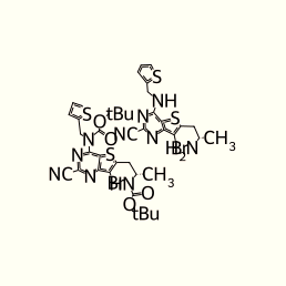 C[C@@H](Cc1sc2c(N(Cc3cccs3)C(=O)OC(C)(C)C)nc(C#N)nc2c1Br)NC(=O)OC(C)(C)C.C[C@H](N)Cc1sc2c(NCc3cccs3)nc(C#N)nc2c1Br